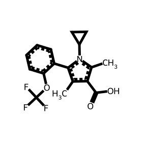 Cc1c(C(=O)O)c(C)n(C2CC2)c1-c1ccccc1OC(F)(F)F